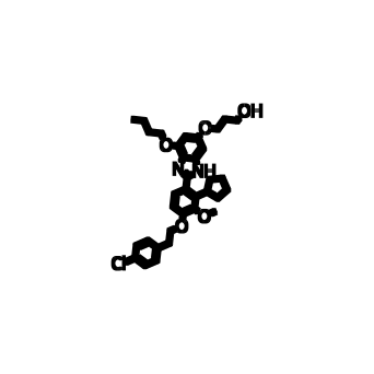 CCCCOc1cc(OCCCO)cc2[nH]c(-c3ccc(OCCc4ccc(Cl)cc4)c(OC)c3C3CCCC3)nc12